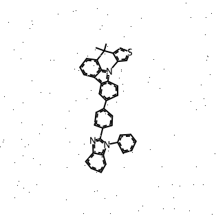 CC1(C)c2cscc2-n2c3ccc(-c4ccc(-c5nc6ccccc6n5-c5ccccc5)cc4)cc3c3cccc1c32